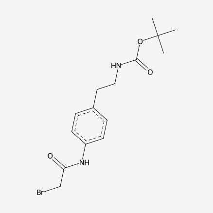 CC(C)(C)OC(=O)NCCc1ccc(NC(=O)CBr)cc1